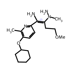 COCC/C(=C(/N)c1ccc(OC2CCCCC2)c(C)n1)N(C)N